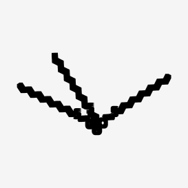 CCCCCCCCCCCCSCCOP(=O)(CCSCCCCCCCCCCCC)OCCSCCCCCCCCCCCC